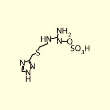 NC(=NOS(=O)(=O)O)NCCSCc1nc[nH]n1